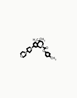 Cc1ccc(OC(=O)N2CCC(C)(C)c3ccc(N4CCC(N5CCOCC5)CC4)cc3C2)cc1